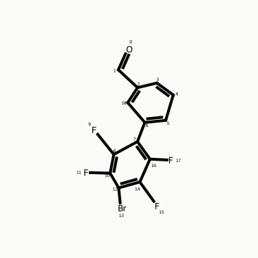 O=Cc1cccc(-c2c(F)c(F)c(Br)c(F)c2F)c1